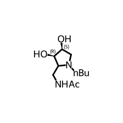 CCCCN1C[C@H](O)[C@H](O)C1CNC(C)=O